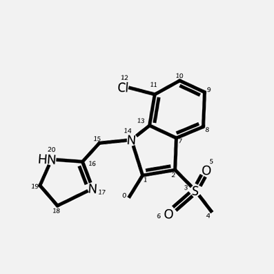 Cc1c(S(C)(=O)=O)c2cccc(Cl)c2n1CC1=NCCN1